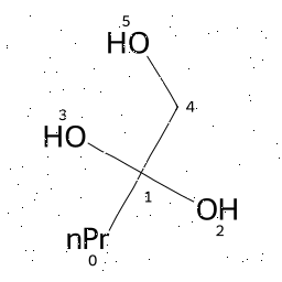 CCCC(O)(O)CO